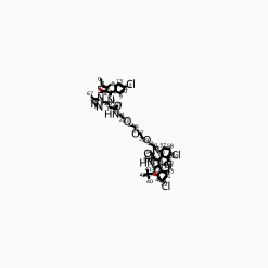 Cc1sc2c(c1C)C(c1ccc(Cl)cc1)=N[C@@H](CC(=O)NCCOCCOCCOCCN1C(=O)[C@@H]3NC(CC(C)(C)C)[C@](C#N)(c4ccc(Cl)cc4F)C3c3c1ccc(Cl)c3F)c1nnc(C)n1-2